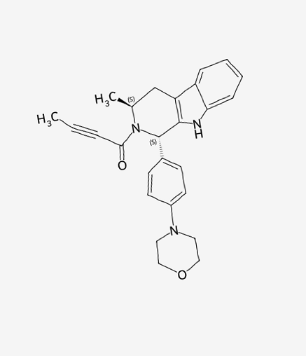 CC#CC(=O)N1[C@@H](c2ccc(N3CCOCC3)cc2)c2[nH]c3ccccc3c2C[C@@H]1C